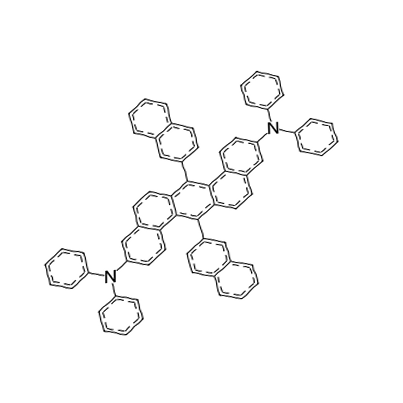 c1ccc(N(c2ccccc2)c2ccc3c(ccc4c(-c5ccc6ccccc6c5)c5c(ccc6cc(N(c7ccccc7)c7ccccc7)ccc65)c(-c5ccc6ccccc6c5)c43)c2)cc1